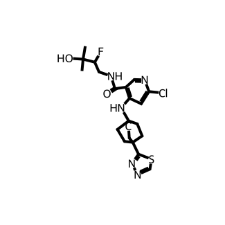 CC(C)(O)C(F)CNC(=O)c1cnc(Cl)cc1NC12CCC(c3nncs3)(CC1)CC2